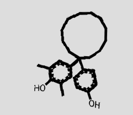 Cc1cc(C2(c3ccc(O)cc3)CCCCCCCCCCC2)cc(C)c1O